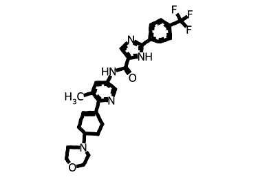 Cc1cc(NC(=O)c2cnc(-c3ccc(C(F)(F)F)cc3)[nH]2)cnc1C1=CCC(N2CCOCC2)CC1